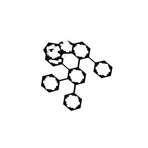 c1ccc(-c2ccc(-c3c(-c4ccccc4)ccc4oc5ccccc5c34)c(-c3ccnnn3)c2-c2ccccc2)cc1